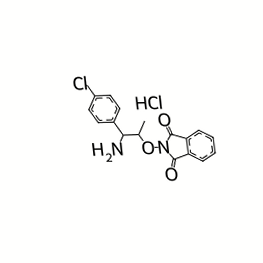 CC(ON1C(=O)c2ccccc2C1=O)C(N)c1ccc(Cl)cc1.Cl